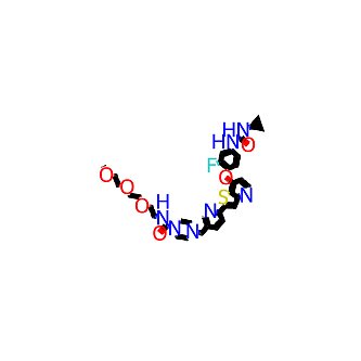 COCCOCCOCCNC(=O)N1CCN(Cc2ccc(-c3cc4nccc(Oc5ccc(NC(=O)NC6CC6)cc5F)c4s3)nc2)CC1